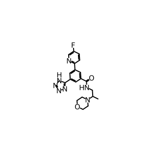 CC(CNC(=O)c1cc(-c2ccc(F)cn2)cc(-c2nnn[nH]2)c1)N1CCOCC1